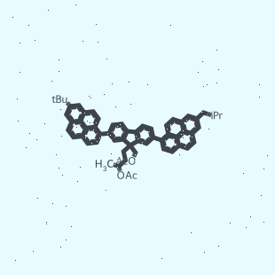 CC(=O)OCC1(CCC(C)OC(C)=O)c2cc(-c3ccc4ccc5cc(CC(C)C)cc6ccc3c4c56)ccc2-c2ccc(-c3ccc4ccc5cc(C(C)(C)C)cc6ccc3c4c56)cc21